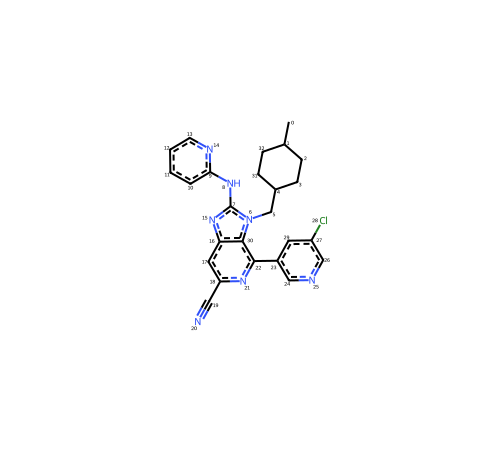 CC1CCC(Cn2c(Nc3ccccn3)nc3cc(C#N)nc(-c4cncc(Cl)c4)c32)CC1